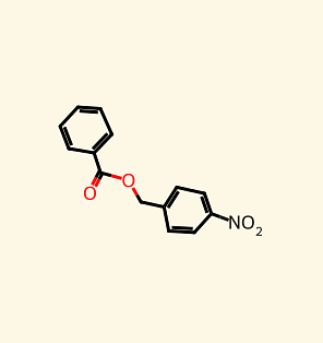 O=C(OCc1ccc([N+](=O)[O-])cc1)c1ccccc1